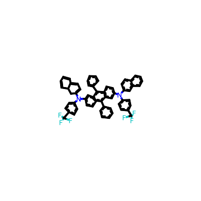 FC(F)(F)c1ccc(N(C2=CC=C3C=CC=CC3C2)c2ccc3c(-c4ccccc4)c4cc(N(c5ccc(C(F)(F)F)cc5)c5ccc6ccccc6c5)ccc4c(-c4ccccc4)c3c2)cc1